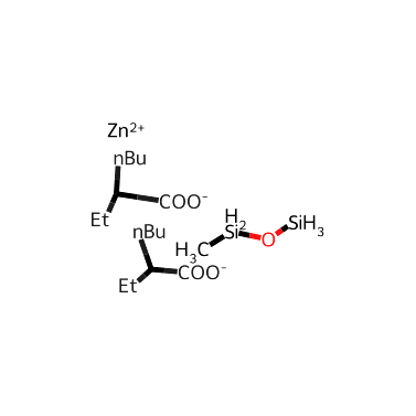 CCCCC(CC)C(=O)[O-].CCCCC(CC)C(=O)[O-].C[SiH2]O[SiH3].[Zn+2]